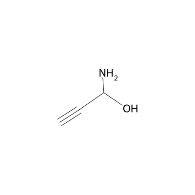 C#CC(N)O